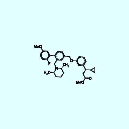 COC(=O)C[C@@H](c1cccc(OCc2ccc(-c3cc(OC)ccc3F)c(CN3[C@H](C)CCC[C@H]3C)c2)c1)C1CC1